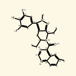 CCC1Cc2c(nn(C)c2-c2cc(F)c(F)c(F)c2)C(CC)N1C(=O)c1ncnc2ccc(C)cc12